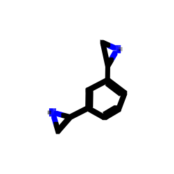 c1cc(C2C[N]2)cc(C2C[N]2)c1